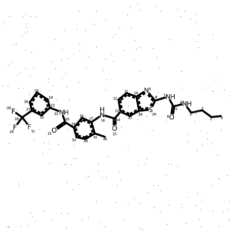 CCCCNC(=O)Nc1nc2ccc(C(=O)Nc3cc(C(=O)Nc4cccc(C(F)(F)F)c4)ccc3C)cc2s1